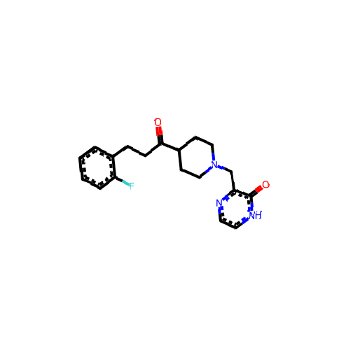 O=C(CCc1ccccc1F)C1CCN(Cc2ncc[nH]c2=O)CC1